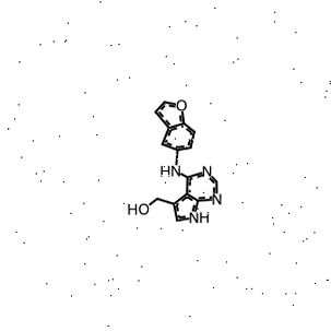 OCc1c[nH]c2ncnc(Nc3ccc4occc4c3)c12